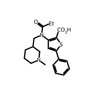 CCC(=O)N(CC1CCCN(C)C1)c1cc(-c2ccccc2)sc1C(=O)O